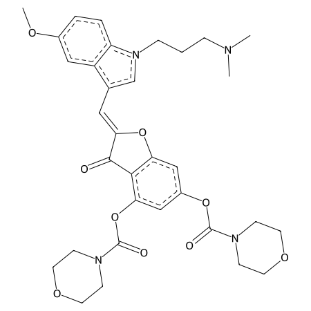 COc1ccc2c(c1)c(/C=C1\Oc3cc(OC(=O)N4CCOCC4)cc(OC(=O)N4CCOCC4)c3C1=O)cn2CCCN(C)C